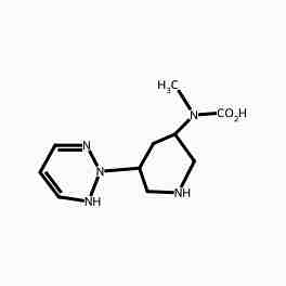 CN(C(=O)O)C1CNCC(N2N=CC=CN2)C1